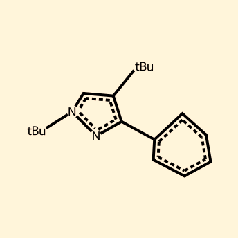 CC(C)(C)c1cn(C(C)(C)C)nc1-c1ccccc1